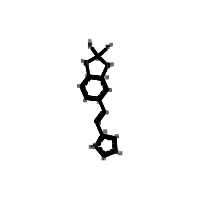 FC1(F)Oc2ccc(C=Cc3cscn3)cc2O1